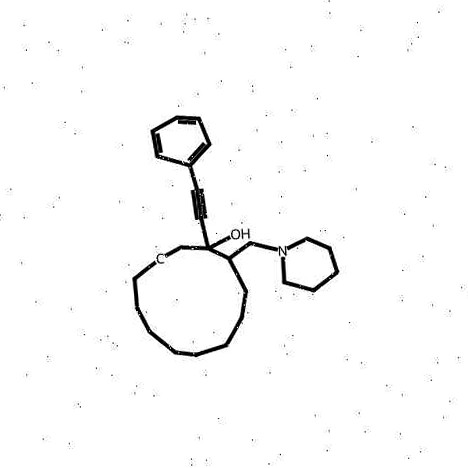 OC1(C#Cc2ccccc2)CCCCCCCCCCC1CN1CCCCC1